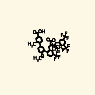 COc1ccc(-c2ccc(C(=O)O)cc2C)cc1-c1ccc(C(F)(F)F)cc1CN1C(=O)OC(c2cc(C(F)(F)F)cc(C(F)(F)F)c2)C1(C)C